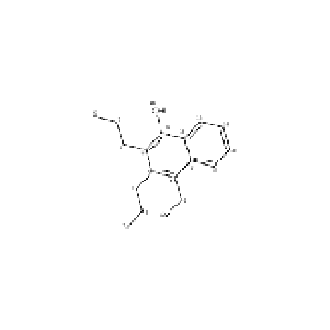 CCCc1c(CCC)c(CC)c2ccccc2c1O